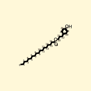 CCCCCCCCCCCCCCCCCC(=O)OCCCc1ccc(O)cc1